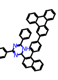 c1ccc(C2=NC(c3ccc4ccccc4c3-c3ccc(-c4ccc5c6ccccc6c6ccccc6c5c4)cc3)NC(c3ccccc3)=N2)cc1